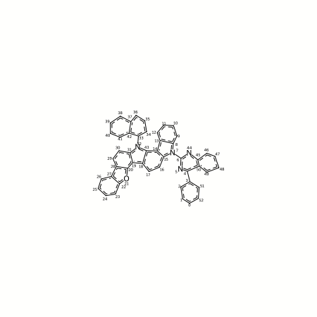 c1ccc(-c2nc(-n3c4ccccc4c4c3ccc3c5c6oc7ccccc7c6ccc5n(-c5cccc6ccccc56)c34)nc3ccccc23)cc1